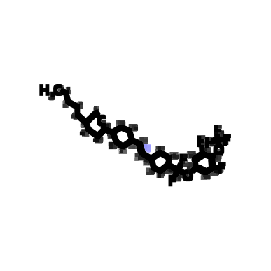 CCCCCC1CCC(C2CCC(/C=C/C3CCC(C(F)(F)Oc4cc(F)c(OC(F)(F)F)c(F)c4)CC3)CC2)CC1